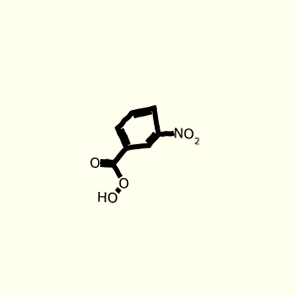 O=C(OO)c1cccc([N+](=O)[O-])c1